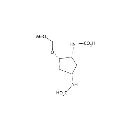 COCO[C@H]1C[C@@H](NC(=O)O)C[C@H]1NC(=O)O